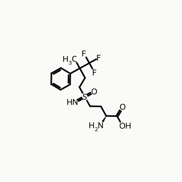 CC(CCS(=N)(=O)CC[C@H](N)C(=O)O)(c1ccccc1)C(F)(F)F